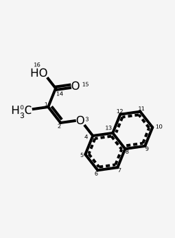 CC(=COc1cccc2ccccc12)C(=O)O